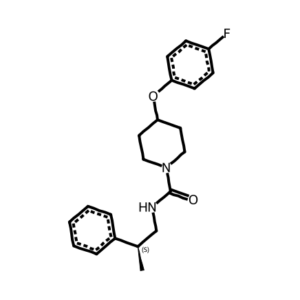 C[C@H](CNC(=O)N1CCC(Oc2ccc(F)cc2)CC1)c1ccccc1